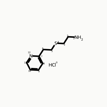 Cl.NCCSCCc1ccccn1